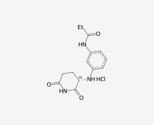 CCC(=O)Nc1cccc(N[C@H]2CCC(=O)NC2=O)c1.Cl